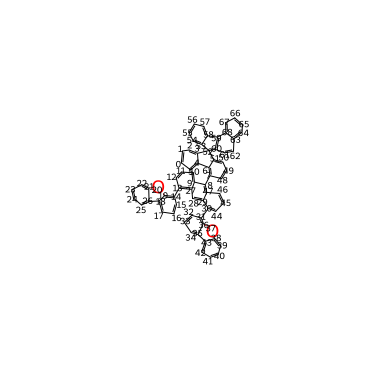 c1ccc2c(c1)-c1c(-c3c4cccc(-c5cccc6c5oc5ccccc56)c4cc4c(-c5cccc6c5oc5ccccc56)cccc34)cccc1C21c2ccccc2-c2c1ccc1ccccc21